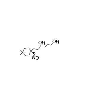 CC1(C)CCC(CCC(O)CCCO)(SN=O)CC1